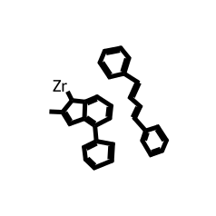 C(/C=C/c1ccccc1)=C\c1ccccc1.CC1=Cc2c(-c3ccccc3)cccc2[CH]1[Zr]